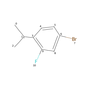 C[C](C)c1ccc(Br)cc1F